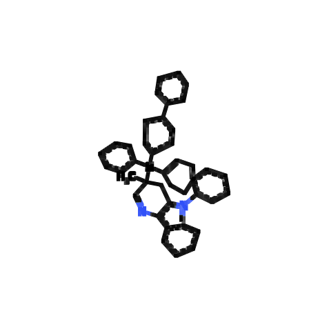 CC1([Si](C2=CC=CCC2)(c2ccccc2)c2ccc(-c3ccccc3)cc2)C=Nc2c(n(-c3ccccc3)c3ccccc23)C1